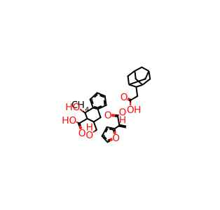 C.C=C(C(=O)O)c1ccco1.O=C(O)C1C(CO)Cc2ccccc2C1O.O=C(O)CC1C2CC3CC(C2)CC1C3